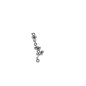 O=C(NS(=O)(=O)c1ccc(NCCSc2ccccc2)c([N+](=O)[O-])c1)c1ccc(N2CCN(S(=O)(=O)c3ccccc3)CC2)cc1